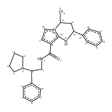 O=C(NCC(c1ccccc1)N1CCCC1)c1cnn2c1NC(c1ccccc1)CC2C(F)(F)F